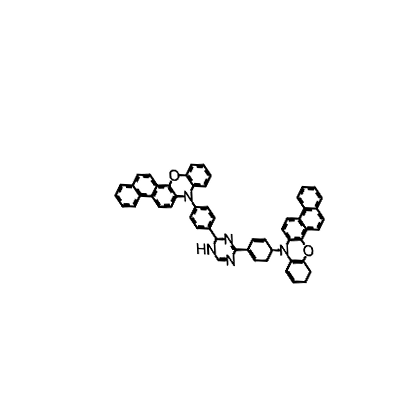 C1=CC2=C(CC1)Oc1c(ccc3c1ccc1ccccc13)N2[C@@H]1C=CC(C2=NC(c3ccc(N4c5ccccc5Oc5c4ccc4c5ccc5ccccc54)cc3)NC=N2)=CC1